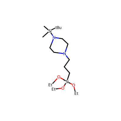 CCO[Si](CCCN1CCN([Si](C)(C)C(C)(C)C)CC1)(OCC)OCC